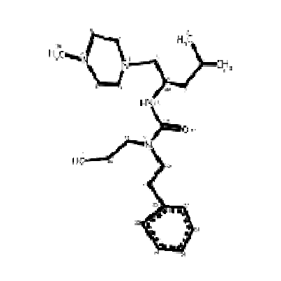 CC(C)C[C@H](CN1CCN(C)CC1)NC(=O)N(CCO)CCc1ccccc1